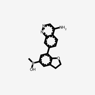 CB(O)c1cc2c(c(-c3ccc4c(N)cnnc4c3)c1)OCC2